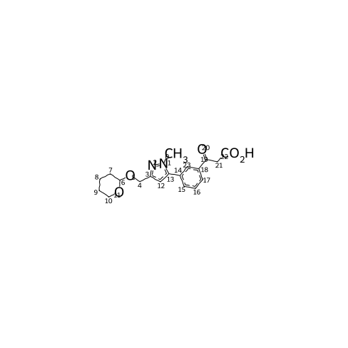 Cn1nc(COC2CCCCO2)cc1-c1cccc(C(=O)CC(=O)O)c1